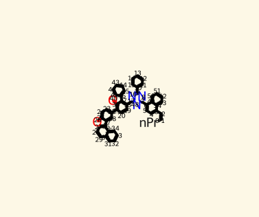 CCC/C=C\c1ccc(-c2nc(-c3ccccc3)nc(-c3ccc(-c4ccc5oc6ccc7ccccc7c6c5c4)c4oc5ccccc5c34)n2)c2ccccc12